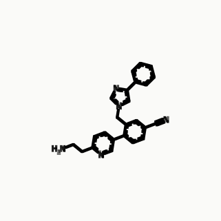 N#Cc1ccc(-c2ccc(CCN)nc2)c(Cn2cnc(-c3ccccc3)c2)c1